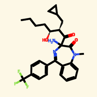 CCCC[C@@H](O)[C@H](CC1CC1)C(=O)C1(N)N=C(c2ccc(C(F)(F)F)cc2)c2ccccc2N(C)C1=O